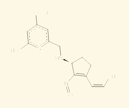 C=NC1=C(/C=C\C)CC[C@@H]1NCc1cc(C(=O)O)cc(C)n1